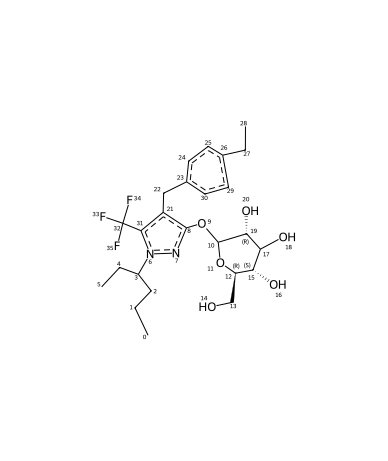 CCCC(CC)n1nc(OC2O[C@H](CO)[C@@H](O)C(O)[C@H]2O)c(Cc2ccc(CC)cc2)c1C(F)(F)F